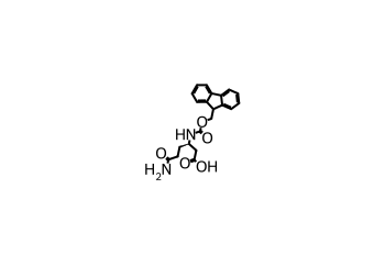 NC(=O)CC[C@H](CC(=O)O)NC(=O)OCC1c2ccccc2-c2ccccc21